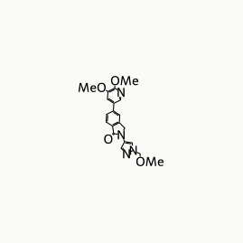 COCn1cc(N2Cc3cc(-c4cnc(OC)c(OC)c4)ccc3C2=O)cn1